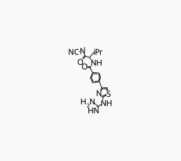 CC(C)C(NC(=O)c1ccc(-c2csc(NC(=N)N)n2)cc1)C(=O)N(C)C#N